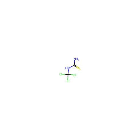 NC(=S)NC(Cl)(Cl)Cl